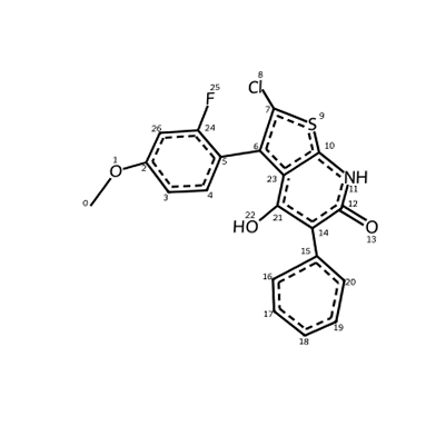 COc1ccc(-c2c(Cl)sc3[nH]c(=O)c(-c4ccccc4)c(O)c23)c(F)c1